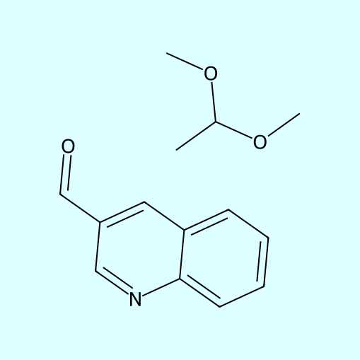 COC(C)OC.O=Cc1cnc2ccccc2c1